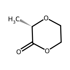 C[C@@H]1OCCOC1=O